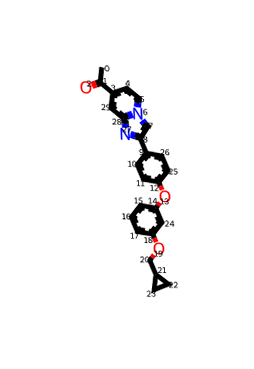 CC(=O)c1ccn2cc(-c3ccc(Oc4cccc(OCC5CC5)c4)cc3)nc2c1